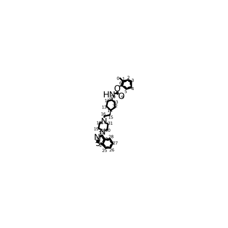 Cc1ccccc1OC(=O)N[C@H]1CC[C@H](CCN2CCN(c3nsc4ccccc34)CC2)CC1